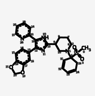 CS(=O)(=O)C1(N2CCCC(c3nc(-c4ccc5c(c4)OCO5)c(-c4ccccn4)[nH]3)C2)C=CC=CC1